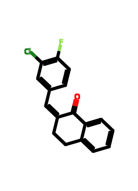 O=C1C(=Cc2ccc(F)c(Cl)c2)CCc2ccccc21